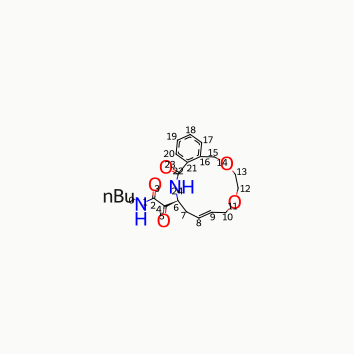 CCCCNC(=O)C(=O)[C@@H]1C/C=C/COCCOCc2ccccc2C(=O)N1